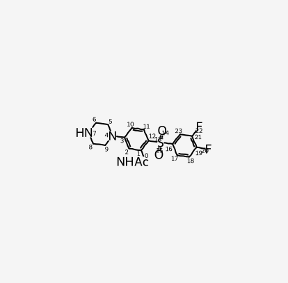 CC(=O)Nc1cc(N2CCNCC2)ccc1S(=O)(=O)c1ccc(F)c(F)c1